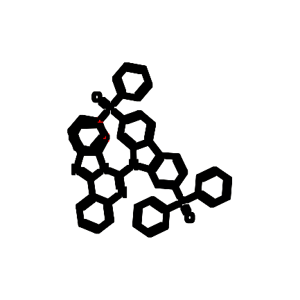 O=P(c1ccccc1)(c1ccccc1)c1ccc2c3ccc(P(=O)(c4ccccc4)c4ccccc4)cc3n(-c3nc4ccccc4c4nc5ccccc5n34)c2c1